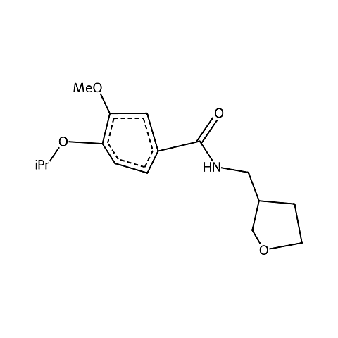 COc1cc(C(=O)NCC2CCOC2)ccc1OC(C)C